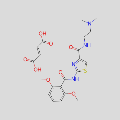 COc1cccc(OC)c1C(=O)Nc1nc(C(=O)NCCN(C)C)cs1.O=C(O)C=CC(=O)O